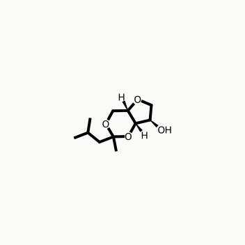 CC(C)CC1(C)OC[C@@H]2OC[C@@H](O)[C@@H]2O1